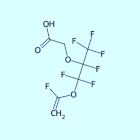 C=C(F)OC(F)(F)C(F)(OCC(=O)O)C(F)(F)F